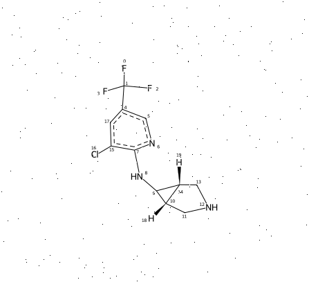 FC(F)(F)c1cnc(NC2[C@H]3CNC[C@@H]23)c(Cl)c1